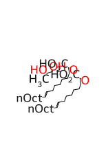 CC(O)CO.CCCCCCCCC=CCCCCCC1OC1C(=O)O.CCCCCCCCC=CCCCCCC1OC1C(=O)O